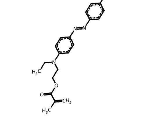 C=C(C)C(=O)OCCN(CC)c1ccc(N=Nc2ccc(C)cc2)cc1